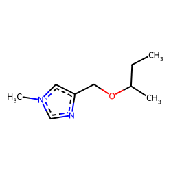 CCC(C)OCc1cn(C)cn1